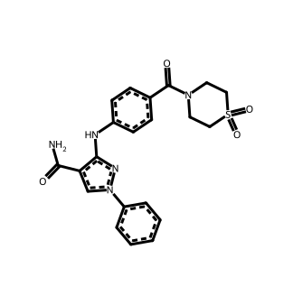 NC(=O)c1cn(-c2ccccc2)nc1Nc1ccc(C(=O)N2CCS(=O)(=O)CC2)cc1